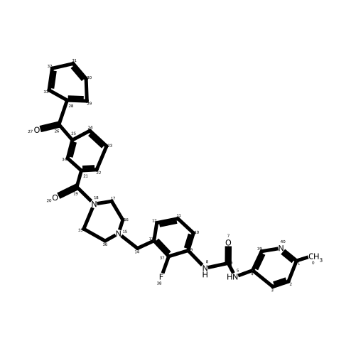 Cc1ccc(NC(=O)Nc2cccc(CN3CCN(C(=O)c4cccc(C(=O)c5ccccc5)c4)CC3)c2F)cn1